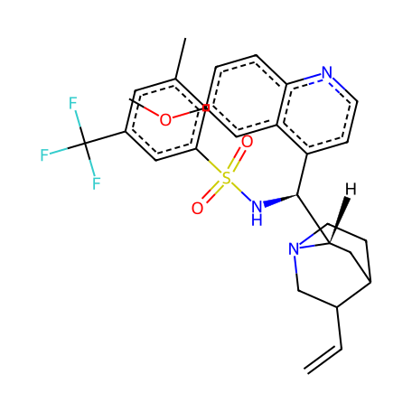 C=CC1CN2CCC1C[C@H]2[C@@H](NS(=O)(=O)c1cc(C)cc(C(F)(F)F)c1)c1ccnc2ccc(OC)cc12